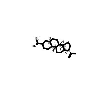 C=C(C)[C@H]1CC[C@H]2[C@@H]3CC[C@H]4CC(C(=N)CC)CC[C@]4(C)[C@H]3CC[C@]12C